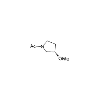 CO[C@@H]1CCN(C(C)=O)C1